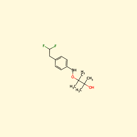 CC(C)(O)C(C)(C)OBc1ccc(CC(F)F)cc1